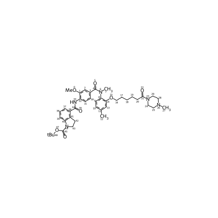 COc1cc(C(=O)N(C)c2ccc(C)cc2OCCCCCC(=O)N2CCN(C)CC2)ccc1NC(=O)c1cccc2c1CCN2C(=O)OC(C)(C)C